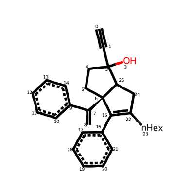 C#CC1(O)CC[C@@]2(C(=C)c3ccccc3)C(c3ccccc3)=C(CCCCCC)CC12